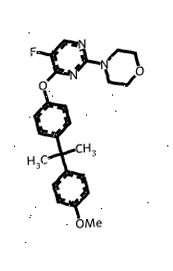 COc1ccc(C(C)(C)c2ccc(Oc3nc(N4CCOCC4)ncc3F)cc2)cc1